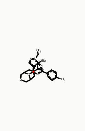 CC(C)(C)OC(=O)N1CC2COCC(C1)N2c1nc(-c2ccc(N)cc2)nc2c1cnn2CC(F)(F)F